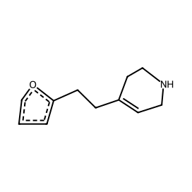 C1=C(CCc2ccco2)CCNC1